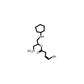 CCC/C=C\CC(=O)OC(CNC1CCCCC1)CS(=O)(=O)O